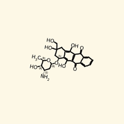 C[C@H]1O[C@@H](O[C@H]2CC(O)(CO)Cc3c(O)c4c(c(O)c32)C(=O)c2ccccc2C4=O)C[C@H](N)[C@H]1O